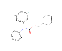 O=C(OCC1CCCCC1)N(c1ccccc1)c1cc(F)cc(F)c1